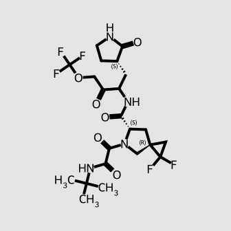 CC(C)(C)NC(=O)C(=O)N1C[C@@]2(C[C@H]1C(=O)NC(C[C@@H]1CCNC1=O)C(=O)COC(F)(F)F)CC2(F)F